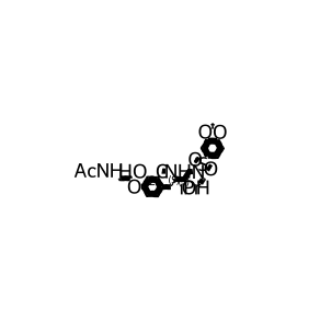 CC(=O)NCCOc1ccc(C[C@H](NC(=O)O)[C@@H](O)CN(CC(C)C)S(=O)(=O)c2ccc3c(c2)OCO3)cc1